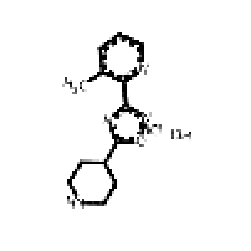 Cc1cccnc1-c1noc(C2CCNCC2)n1.Cl.Cl